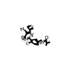 CC(C)C(=O)NCc1ccc(Cl)c(-c2nc(-c3ccsc3)c(C#N)c(=O)[nH]2)c1